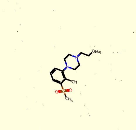 COCCN1CCN(c2cccc(S(C)(=O)=O)c2C#N)CC1